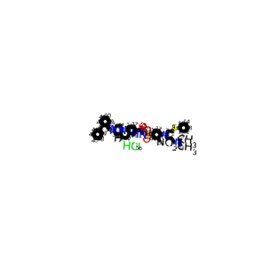 CN(C)CCCN(CCSc1ccccc1)c1ccc(S(=O)(=O)NC(=O)c2ccc3c(c2)CC[C@H]2CN(Cc4ccccc4-c4ccccc4)CCN32)cc1[N+](=O)[O-].Cl